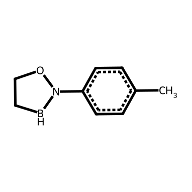 Cc1ccc(N2BCCO2)cc1